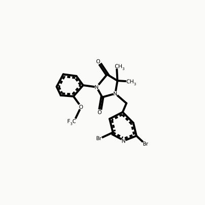 CC1(C)C(=O)N(c2ccccc2OC(F)(F)F)C(=O)N1Cc1cc(Br)nc(Br)c1